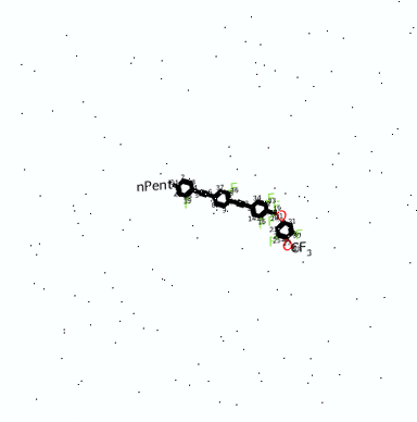 CCCCCc1ccc(C#Cc2ccc(C#Cc3cc(F)c(C(F)(F)Oc4cc(F)c(OC(F)(F)F)c(F)c4)c(F)c3)c(F)c2)c(F)c1